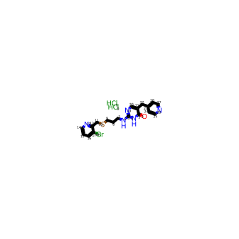 Cl.Cl.O=c1[nH]c(NCCCSCc2ncccc2Br)ncc1Cc1ccncc1